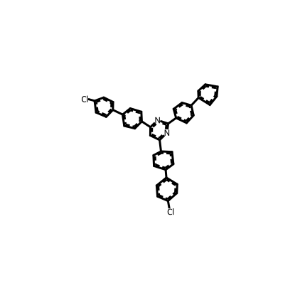 Clc1ccc(-c2ccc(-c3cc(-c4ccc(-c5ccc(Cl)cc5)cc4)nc(-c4ccc(-c5ccccc5)cc4)n3)cc2)cc1